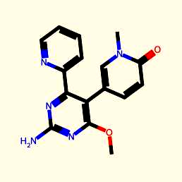 COc1nc(N)nc(-c2ccccn2)c1-c1ccc(=O)n(C)c1